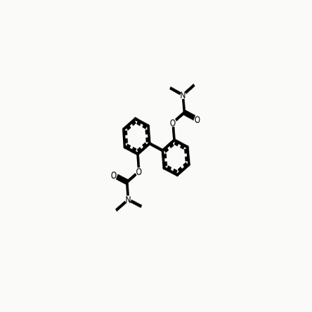 CN(C)C(=O)Oc1ccccc1-c1ccccc1OC(=O)N(C)C